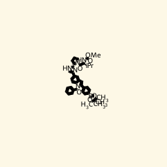 COC(=O)N[C@H](C(=O)N1CCC[C@H]1c1nc(-c2ccc3c(c2)cc2n3C(c3ccccc3)Oc3cc(B4OC(C)(C)C(C)(C)O4)ccc3-2)c[nH]1)C(C)C